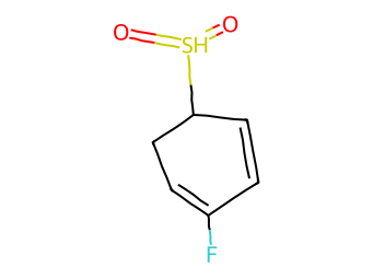 O=[SH](=O)C1C=CC(F)=CC1